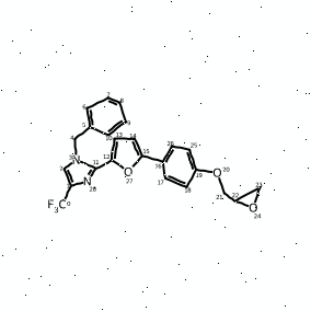 FC(F)(F)c1cn(Cc2ccccc2)c(-c2ccc(-c3ccc(OCC4CO4)cc3)o2)n1